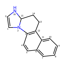 C1=CN2c3ccc4ccccc4c3CCC2N1